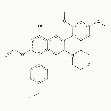 COc1ccc(-c2cc3c(O)cc(OC=O)c(-c4ccc(CS)cc4)c3cc2N2CCOCC2)c(OC)c1